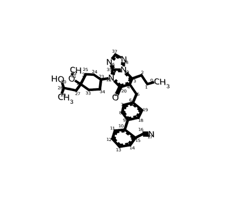 CCCc1c(Cc2ccc(-c3ccccc3C#N)cc2)c(=O)n(C2CCC(CC(C)O)(OC)CC2)c2ncnn12